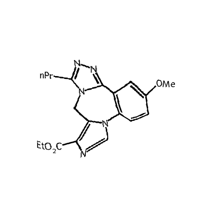 CCCc1nnc2n1Cc1c(C(=O)OCC)ncn1-c1ccc(OC)cc1-2